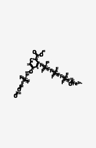 COC(=O)C1C=CC(OC)=C[CH+]1.F[B-](F)(F)F.F[B-](F)(F)F.F[B-](F)(F)F.F[B-](F)(F)F.[C]=O.[C]=O.[C]=O.[Fe+3]